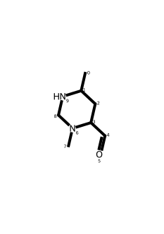 CC1CC(C=O)N(C)CN1